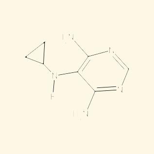 Nc1ncnc(N)c1N(F)C1CC1